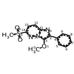 COc1c(-c2ccccc2)nc2ccc(S(C)(=O)=O)nn12